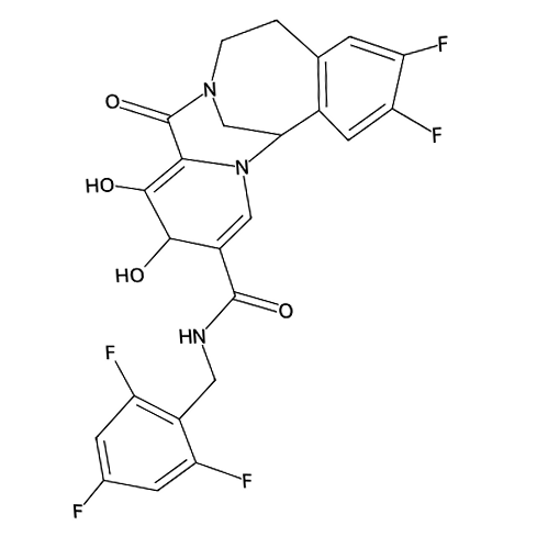 O=C(NCc1c(F)cc(F)cc1F)C1=CN2C(=C(O)C1O)C(=O)N1CCc3cc(F)c(F)cc3C2C1